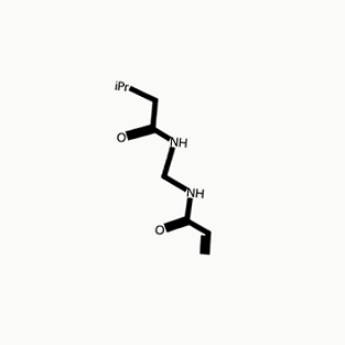 C=CC(=O)NCNC(=O)CC(C)C